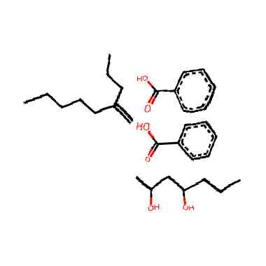 C=C(CCC)CCCCC.CCCC(O)CC(C)O.O=C(O)c1ccccc1.O=C(O)c1ccccc1